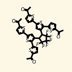 CC(=O)c1ccc(-c2cc(C3C(c4cc(-c5ccc(C(C)=O)s5)sc4-c4ccc(C(C)=O)s4)C(F)(F)C(F)(F)C3(F)F)c(-c3ccc(C(C)=O)s3)s2)s1